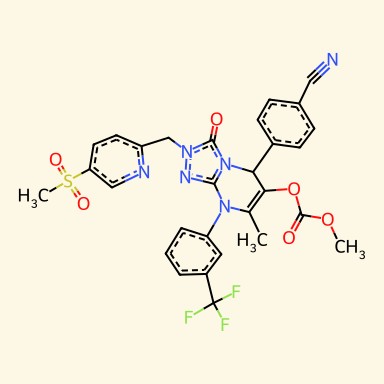 COC(=O)OC1=C(C)N(c2cccc(C(F)(F)F)c2)c2nn(Cc3ccc(S(C)(=O)=O)cn3)c(=O)n2C1c1ccc(C#N)cc1